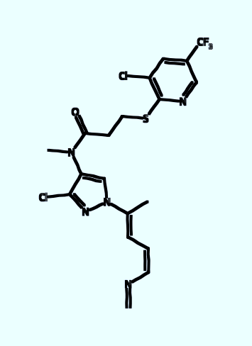 C=N/C=C\C=C(/C)n1cc(N(C)C(=O)CCSc2ncc(C(F)(F)F)cc2Cl)c(Cl)n1